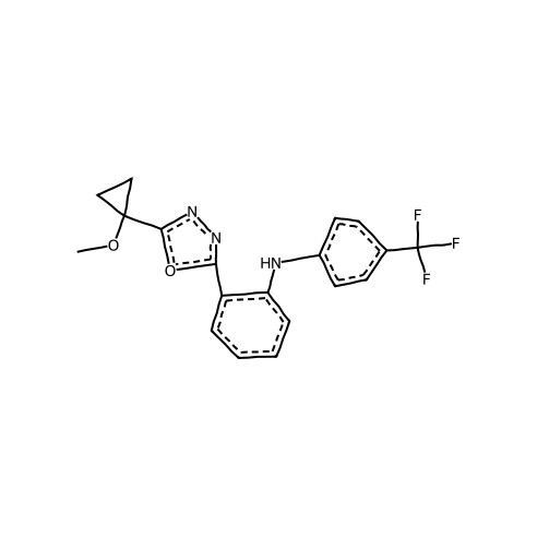 COC1(c2nnc(-c3ccccc3Nc3ccc(C(F)(F)F)cc3)o2)CC1